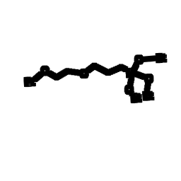 CCOCCOCCC[Si](OCC)(OCC)OCC